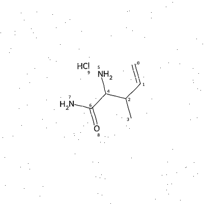 C=CC(C)C(N)C(N)=O.Cl